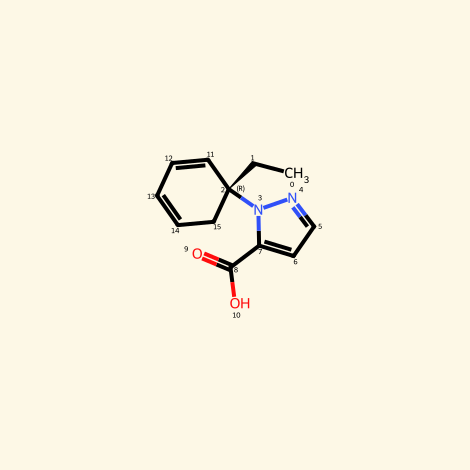 CC[C@]1(n2nccc2C(=O)O)C=CC=CC1